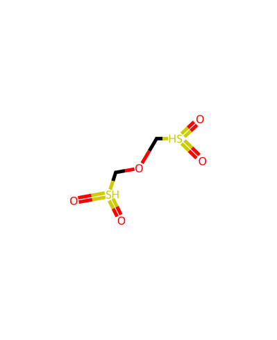 O=[SH](=O)COC[SH](=O)=O